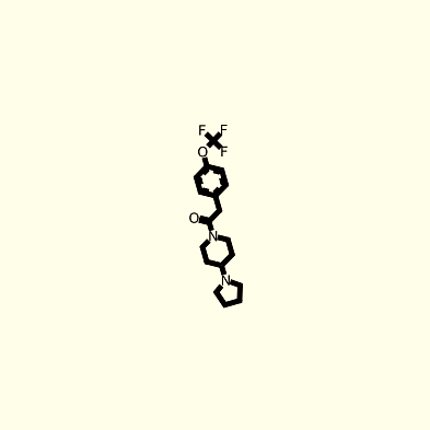 O=C(Cc1ccc(OC(F)(F)F)cc1)N1CCC(N2CCCC2)CC1